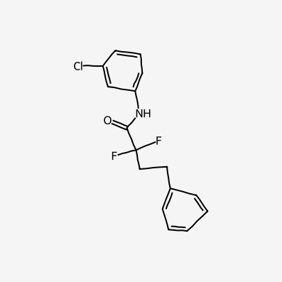 O=C(Nc1cccc(Cl)c1)C(F)(F)CCc1ccccc1